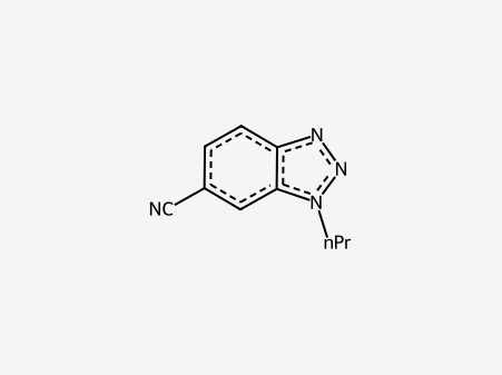 CCCn1nnc2ccc(C#N)cc21